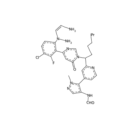 CC(C)CCCC(c1cc(-c2c(NC=O)cnn2C)ccn1)n1cnc(-c2c(N(N)/C=C\N)ccc(Cl)c2F)cc1=O